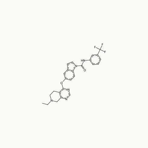 CCN1CCc2c(ncnc2Oc2ccc3c(ccn3C(=O)Nc3cccc(C(F)(F)F)c3)c2)C1